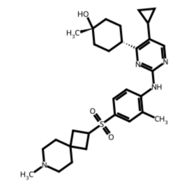 Cc1cc(S(=O)(=O)C2CC3(CCN(C)CC3)C2)ccc1Nc1ncc(C2CC2)c([C@H]2CC[C@@](C)(O)CC2)n1